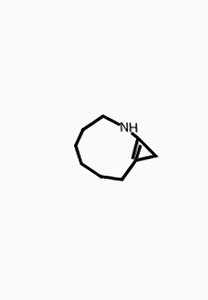 C1CCCC2=C(C2)NCC1